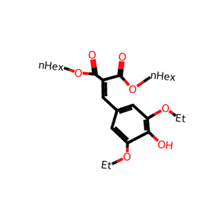 CCCCCCOC(=O)C(=Cc1cc(OCC)c(O)c(OCC)c1)C(=O)OCCCCCC